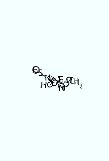 COc1ccc2nccc([C@H](F)CC[C@@H]3CCN(CCCSc4ccco4)C[C@@H]3C(=O)O)c2c1